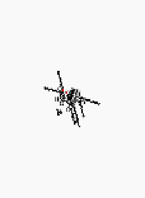 CCCCCCCCCCC[C@H](CC(=O)N[C@H]1[C@H](OC[C@H](NC(=O)C[C@@H](CCCCCCCCCCC)OC(=O)CCCCCCCC)C(=O)O)O[C@H](CO)[C@@H](OP(=O)(O)O)[C@@H]1OC(=O)C[C@@H](CCCCCCCCCCC)OC(=O)CCCCCCCC)OC(=O)CCCCCCCC.CCN(CC)CC